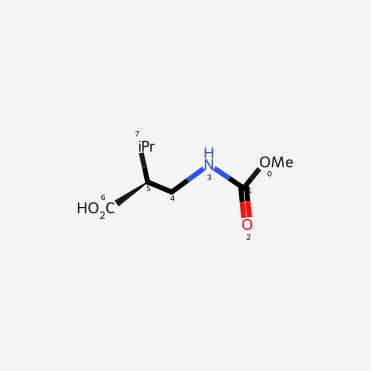 COC(=O)NC[C@@H](C(=O)O)C(C)C